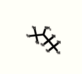 [3H]C([3H])([3H])C([SiH3])C([3H])([3H])C([3H])([3H])[3H]